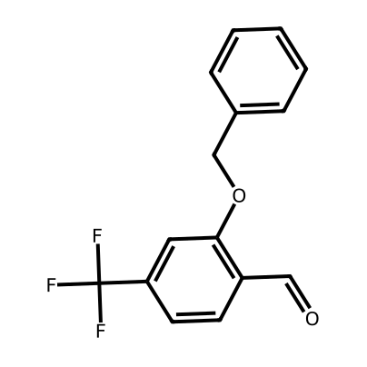 O=Cc1ccc(C(F)(F)F)cc1OCc1ccccc1